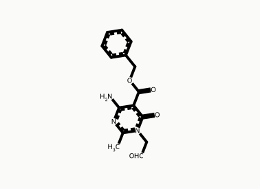 Cc1nc(N)c(C(=O)OCc2ccccc2)c(=O)n1CC=O